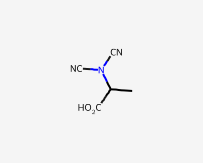 CC(C(=O)O)N(C#N)C#N